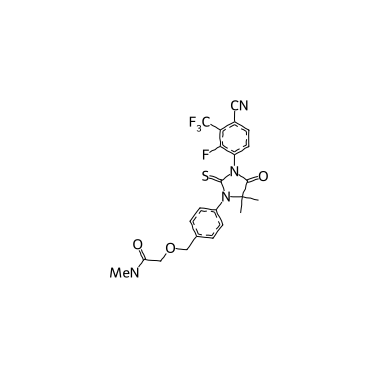 CNC(=O)COCc1ccc(N2C(=S)N(c3ccc(C#N)c(C(F)(F)F)c3F)C(=O)C2(C)C)cc1